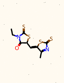 CCN1C(=O)C(C=C2SC(=S)N=C2C)SC1=S